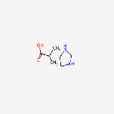 C1CNCN1.CC(C)C(=O)O